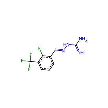 N=C(N)NN=Cc1cccc(C(F)(F)F)c1F